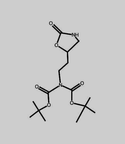 CC(C)(C)OC(=O)N(CCC1CNC(=O)O1)C(=O)OC(C)(C)C